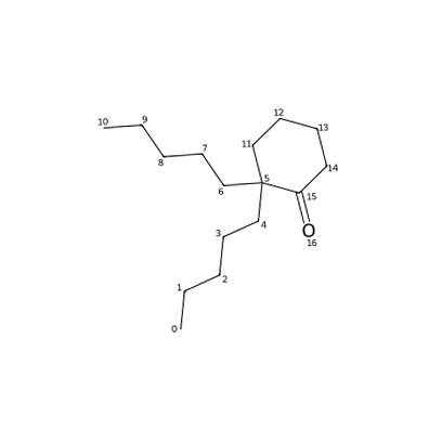 CCCCCC1(CCCCC)CCCCC1=O